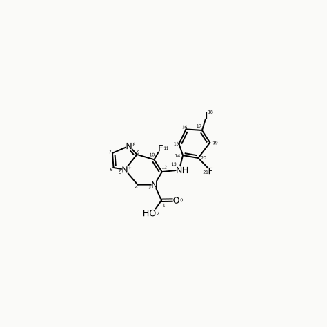 O=C(O)N1C[N+]2C=CN=C2C(F)=C1Nc1ccc(I)cc1F